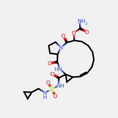 NC(=O)OC1CCCCC/C=C\C2CC2(C(=O)NS(=O)(=O)NCC2CC2)NC(=O)C2CCCN2C1=O